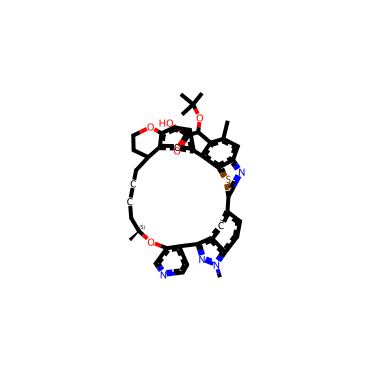 Cc1cc2nc3sc2c(c1C(OC(C)(C)C)C(=O)O)-c1ccc2c(c1)C(CCCC[C@H](C)Oc1cnccc1-c1nn(C)c4ccc-3cc14)CCO2